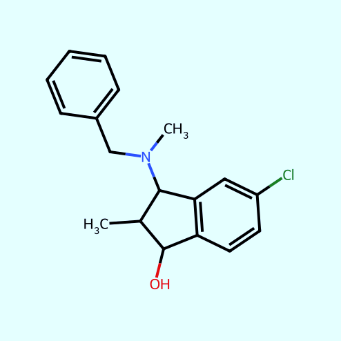 CC1C(O)c2ccc(Cl)cc2C1N(C)Cc1ccccc1